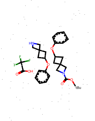 CC(C)(C)OC(=O)N1CC2(CC(Oc3ccccc3)C2)C1.O=C(O)C(F)(F)F.c1ccc(OC2CC3(CNC3)C2)cc1